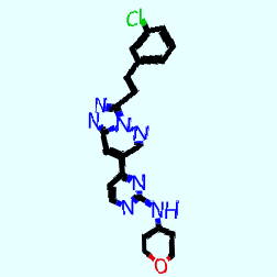 Clc1cccc(CCc2nnc3cc(-c4ccnc(NC5CCOCC5)n4)cnn23)c1